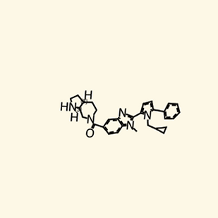 Cn1c(-c2ccc(-c3ccccc3)n2CC2CC2)nc2cc(C(=O)N3CC[C@@H]4CCN[C@@H]4C3)ccc21